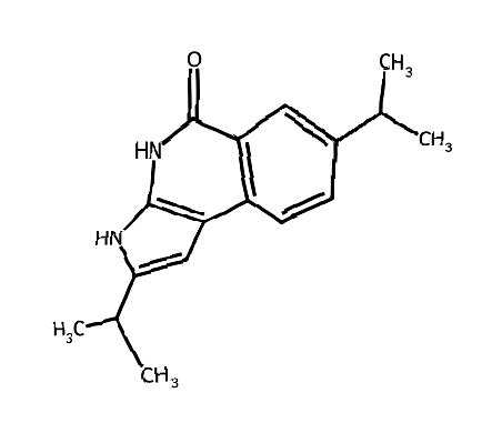 CC(C)c1ccc2c(c1)c(=O)[nH]c1[nH]c(C(C)C)cc12